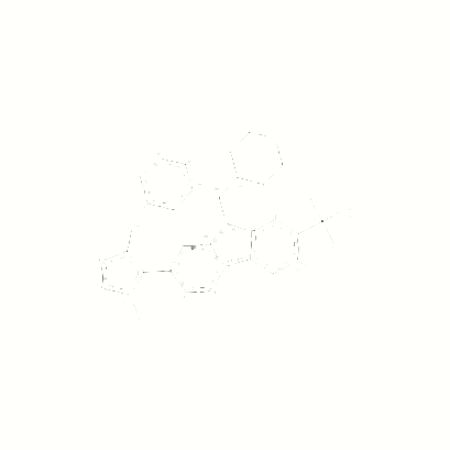 Cc1nnn(C)c1-c1cnc2c3cc(F)c(C(C)(C)O)cc3n([C@H](c3ccccc3)C3CCOCC3)c2c1